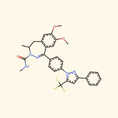 CNC(=O)N1N=C(c2ccc(-n3nc(-c4ccccc4)cc3C(F)(F)F)cc2)c2cc(OC)c(OC)cc2CC1C